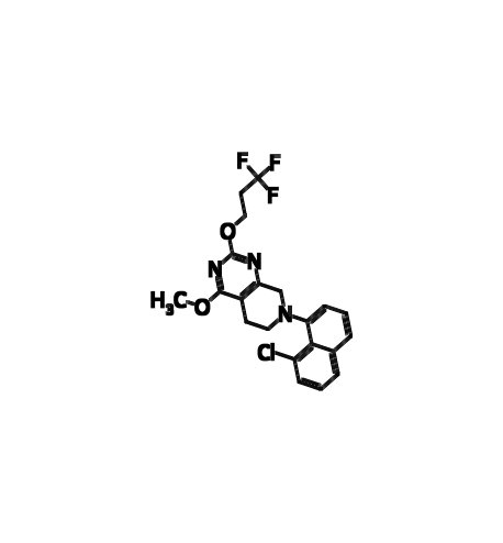 COc1nc(OCCC(F)(F)F)nc2c1CCN(c1cccc3cccc(Cl)c13)C2